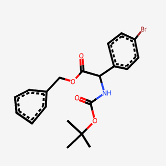 CC(C)(C)OC(=O)NC(C(=O)OCc1ccccc1)c1ccc(Br)cc1